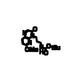 COc1ccc2ncc(=O)n(CCCNC(=O)OC(C)(C)C)c2n1